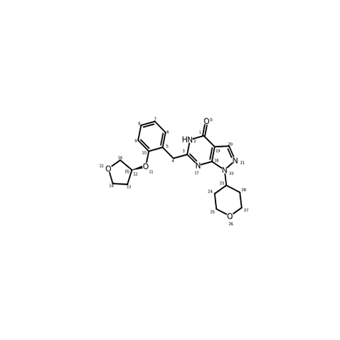 O=c1[nH]c(Cc2ccccc2O[C@H]2CCOC2)nc2c1cnn2C1CCOCC1